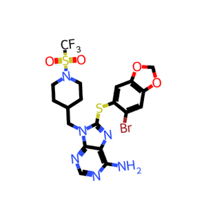 Nc1ncnc2c1nc(Sc1cc3c(cc1Br)OCO3)n2CC1CCN(S(=O)(=O)C(F)(F)F)CC1